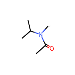 [CH2]N(C(C)=O)C(C)C